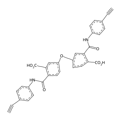 C#Cc1ccc(NC(=O)c2ccc(Oc3ccc(C(=O)O)c(C(=O)Nc4ccc(C#C)cc4)c3)cc2C(=O)O)cc1